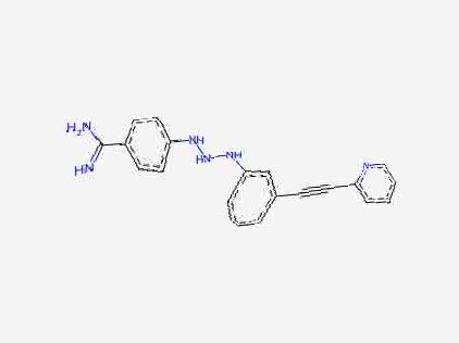 N=C(N)c1ccc(NNNc2cccc(C#Cc3ccccn3)c2)cc1